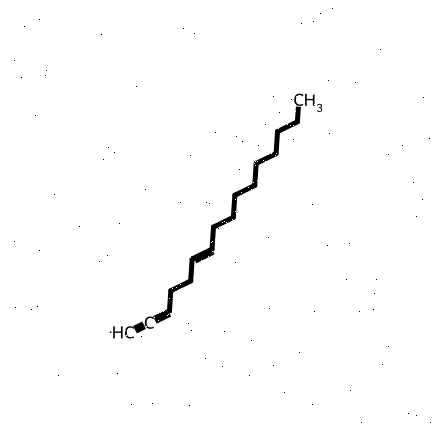 [CH]=C=CCCC=CCCCCCCCCC